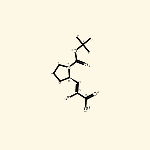 CC(C)(C)OC(=O)N1CCC[C@@H]1C=C(F)C(=O)O